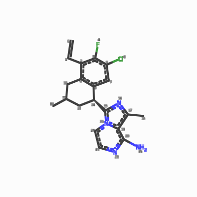 C=Cc1c(F)c(Cl)cc2c1CC(C)C[C@@H]2c1nc(C)c2c(N)nccn12